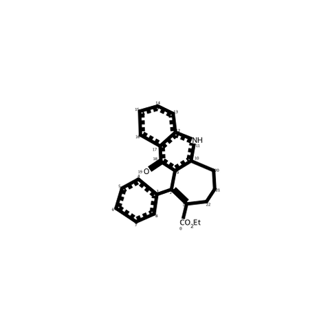 CCOC(=O)C1=C(c2ccccc2)c2c([nH]c3ccccc3c2=O)CCC1